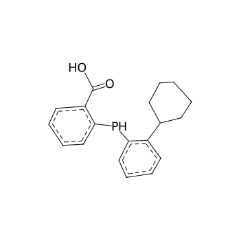 O=C(O)c1ccccc1Pc1ccccc1C1CCCCC1